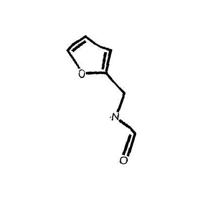 O=C[N]Cc1ccco1